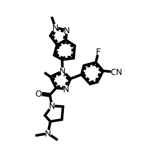 Cc1c(C(=O)N2CCC(N(C)C)C2)nc(-c2ccc(C#N)c(F)c2)n1-c1ccc2nn(C)cc2c1